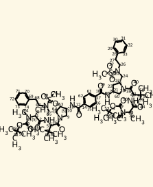 C[C@@H](C(=O)N[C@H](C(=O)N1C[C@@H](NC(=O)c2ccc(C(=O)N[C@H]3C[C@@H](CN(CCc4ccccc4)S(C)(=O)=O)N(C(=O)[C@@H](NC(=O)[C@H](C)N(C)C(=O)OC(C)(C)C)C(C)(C)C)C3)cc2)C[C@H]1CN(CCc1ccccc1)S(C)(=O)=O)C(C)(C)C)N(C)C(=O)OC(C)(C)C